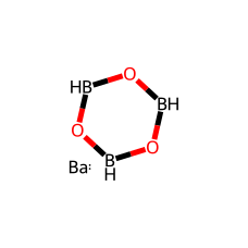 B1OBOBO1.[Ba]